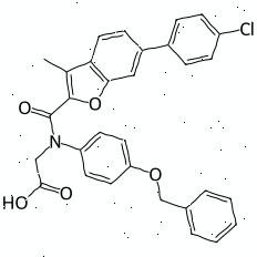 Cc1c(C(=O)N(CC(=O)O)c2ccc(OCc3ccccc3)cc2)oc2cc(-c3ccc(Cl)cc3)ccc12